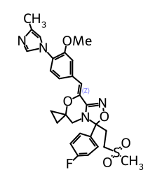 COc1cc(/C=C2\OC3(CC3)CN3C2=NOC3(CCS(C)(=O)=O)c2ccc(F)cc2)ccc1-n1cnc(C)c1